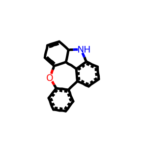 C1=CC2Nc3cccc4c3C2C(=C1)Oc1ccccc1-4